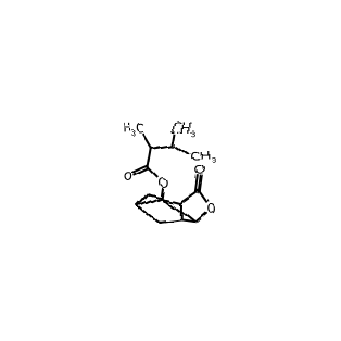 CC(C)C(C)C(=O)OC1C2CC3C(=O)OC1C3C2